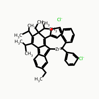 CCc1ccc2c(c1)=[C]([Zr+2]=[C](c1ccccc1)c1ccccc1)C1=C(C3=CC=CC3)C(CC)(C(C)C)C(C(C)C)=C(C(C)C)C=21.[Cl-].[Cl-]